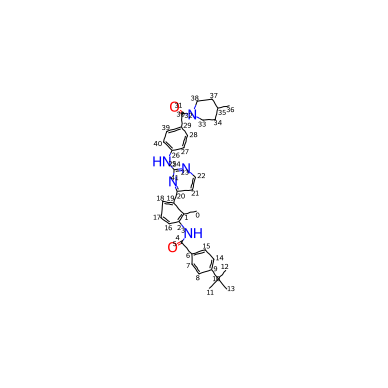 Cc1c(NC(=O)c2ccc(C(C)(C)C)cc2)cccc1-c1ccnc(Nc2ccc(C(=O)N3CCC(C)CC3)cc2)n1